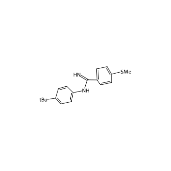 CSc1ccc(C(=N)Nc2ccc(C(C)(C)C)cc2)cc1